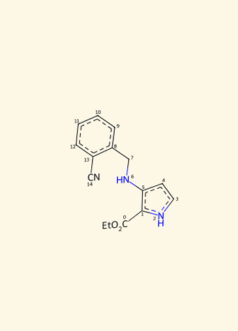 CCOC(=O)c1[nH]ccc1NCc1ccccc1C#N